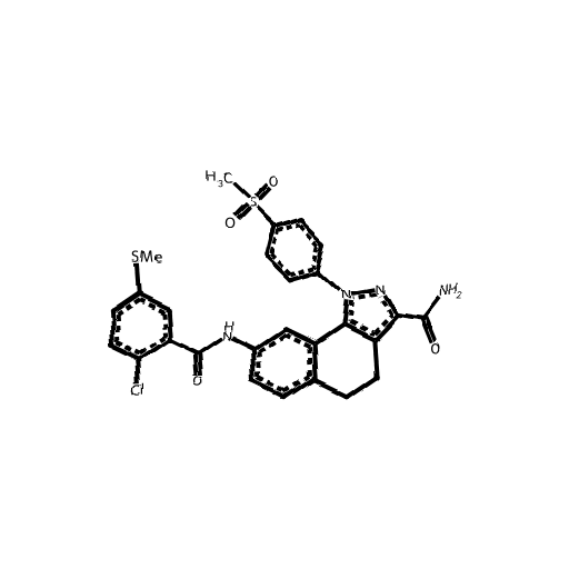 CSc1ccc(Cl)c(C(=O)Nc2ccc3c(c2)-c2c(c(C(N)=O)nn2-c2ccc(S(C)(=O)=O)cc2)CC3)c1